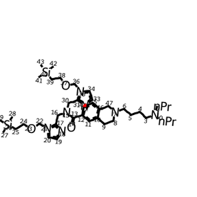 CCCN(CCC)CCCCN1CCc2cc(C(=O)N(Cc3nccn3COCC[Si](C)(C)C)Cc3nccn3COCC[Si](C)(C)C)ccc2C1